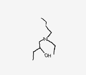 CCCCN(CC)CC(O)CC